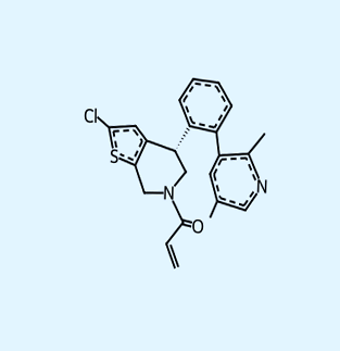 C=CC(=O)N1Cc2sc(Cl)cc2[C@H](c2ccccc2-c2cc(C)cnc2C)C1